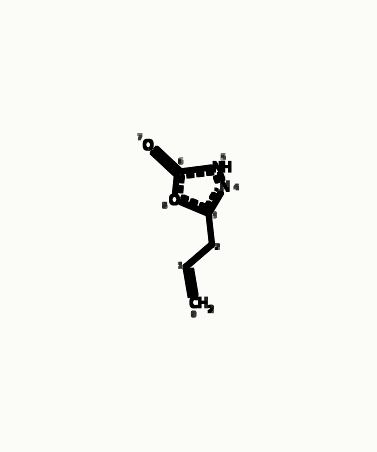 C=CCc1n[nH]c(=O)o1